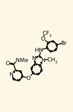 CNC(=O)c1cc(Oc2ccc3c(c2)nc(Nc2ccc(Br)cc2OC(F)(F)F)n3C)ccn1